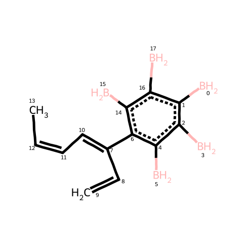 Bc1c(B)c(B)c(/C(C=C)=C/C=C\C)c(B)c1B